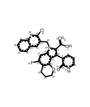 C=C(O)c1c(-c2ccc[nH]c2=O)c2c3c(c(F)cc2n1Cc1cc2ccccc2nc1Cl)CCCO3